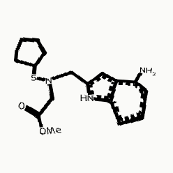 COC(=O)CN(Cc1cc2c(N)cccc2[nH]1)SC1CCCC1